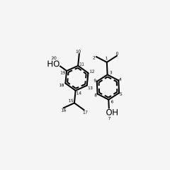 CC(C)c1ccc(O)cc1.Cc1ccc(C(C)C)cc1O